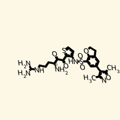 Cc1noc(C)c1-c1cc2c(c(S(=O)(=O)Nc3ccsc3C(=O)C(=O)[C@@H](N)CCCNC(N)N)c1)OCC2